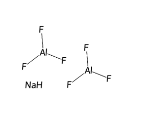 [F][Al]([F])[F].[F][Al]([F])[F].[NaH]